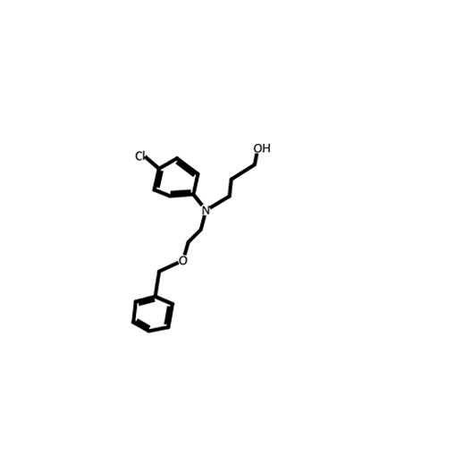 OCCCN(CCOCc1ccccc1)c1ccc(Cl)cc1